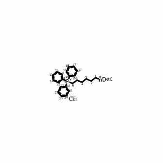 CCCCCCCCCCCCCCCC[P+](c1ccccc1)(c1ccccc1)c1ccccc1.[Cl-]